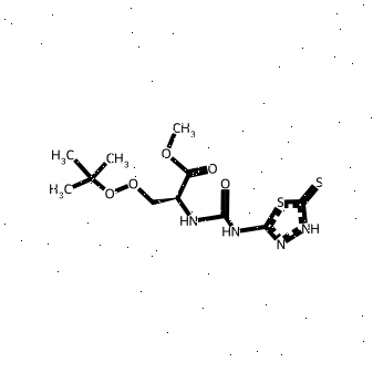 COC(=O)[C@H](COOC(C)(C)C)NC(=O)Nc1n[nH]c(=S)s1